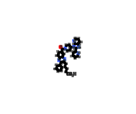 O=C(O)CCCCc1nc2cc(C(=O)N3CCC(n4c(-c5ccccn5)nc5cccnc54)CC3)ccc2nc1-c1ccccc1